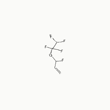 C=CC(F)OC(F)(F)[C](F)F